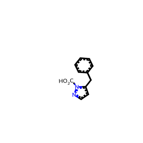 O=C(O)n1nccc1Cc1ccccc1